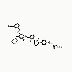 Cc1c(COc2cc(OCc3cncc(C#N)c3)c(CN3CCCCC3)cc2Cl)cccc1-c1cccc(-c2ccc(OCCNCCO)cc2)c1C